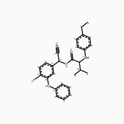 CCc1ccc(NC(C(=O)OC(C#N)c2ccc(F)c(Oc3ccccc3)c2)C(C)C)cc1